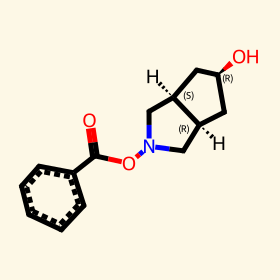 O=C(ON1C[C@H]2C[C@@H](O)C[C@H]2C1)c1ccccc1